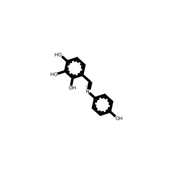 Oc1ccc(/N=C/c2ccc(O)c(O)c2O)cc1